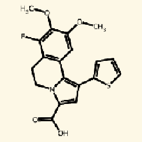 COc1cc2c(c(F)c1OC)CCn1c(C(=O)O)cc(-c3cccs3)c1-2